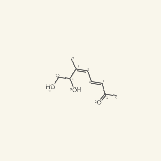 CC(=O)C=CC=C(C)C(O)CO